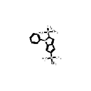 C[Si](C)(C)C1=CC2=CC([Si](C)(C)C)P(c3ccccc3)C2=C1